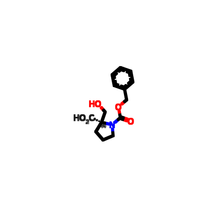 O=C(OCc1ccccc1)N1CCC[C@]1(CO)C(=O)O